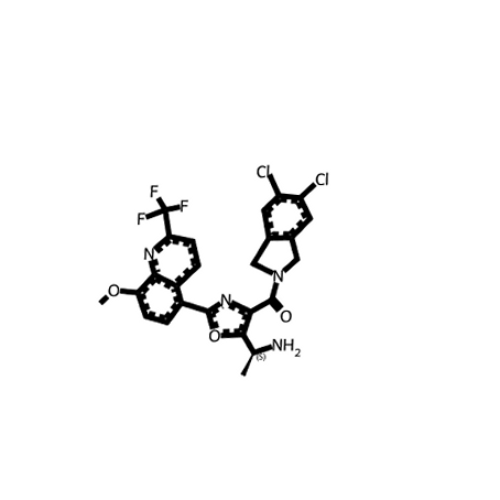 COc1ccc(-c2nc(C(=O)N3Cc4cc(Cl)c(Cl)cc4C3)c([C@H](C)N)o2)c2ccc(C(F)(F)F)nc12